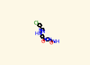 CNC(=O)CN1CCN(C(=O)c2ccc(Nc3nccc(-c4ccc(Cl)cc4)n3)cc2)CC1